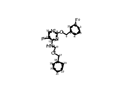 Fc1cccc(COc2ncc(F)c(NCOCc3ccccc3)n2)c1